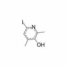 Cc1cc(I)nc(C)c1O